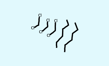 CCCCCC.CCCCCC.ClCCl.ClCCl.ClCCl